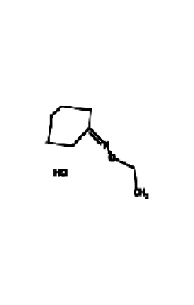 CCON=C1C[CH]CCC1.Cl